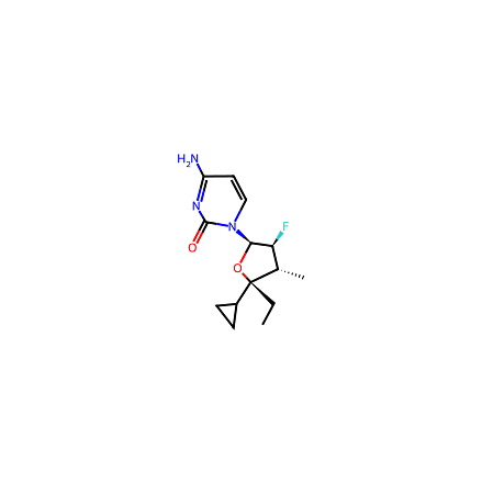 CC[C@@]1(C2CC2)O[C@@H](n2ccc(N)nc2=O)[C@@H](F)[C@@H]1C